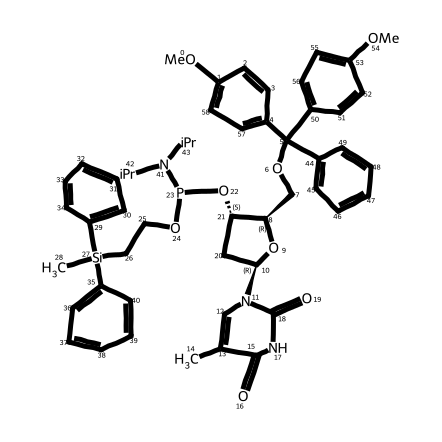 COc1ccc(C(OC[C@H]2O[C@@H](n3cc(C)c(=O)[nH]c3=O)C[C@@H]2OP(OCC[Si](C)(c2ccccc2)c2ccccc2)N(C(C)C)C(C)C)(c2ccccc2)c2ccc(OC)cc2)cc1